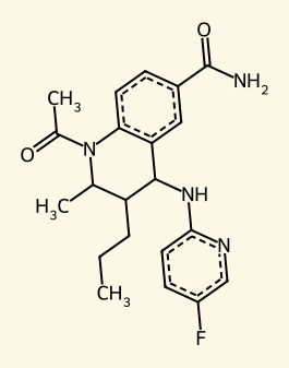 CCCC1C(Nc2ccc(F)cn2)c2cc(C(N)=O)ccc2N(C(C)=O)C1C